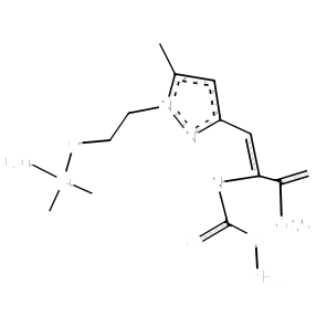 COC(=O)C(=Cc1cc(C)n(CCO[Si](C)(C)C(C)(C)C)n1)NC(=O)OC(C)(C)C